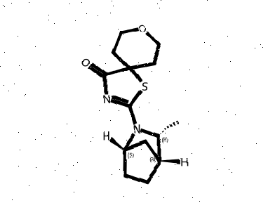 C[C@@H]1[C@@H]2CC[C@@H](C2)N1C1=NC(=O)C2(CCOCC2)S1